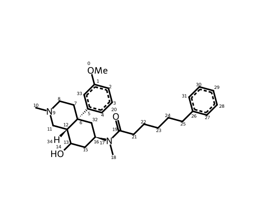 COc1cccc([C@@]23CCN(C)C[C@H]2C(O)C[C@H](N(C)C(=O)CCCCCc2ccccc2)C3)c1